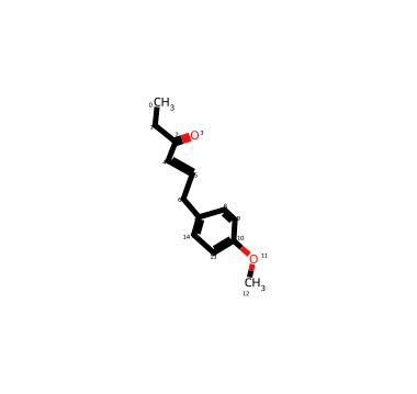 CCC(=O)C=CCc1ccc(OC)cc1